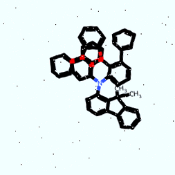 CC1(C)c2ccccc2-c2cccc(N(c3cccc(-c4ccccc4)c3-c3cccc(-c4ccccc4)c3)c3cccc4c3oc3ccccc34)c21